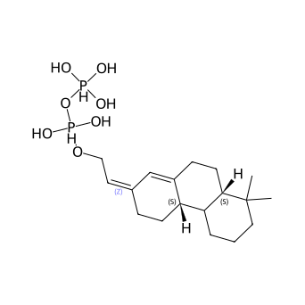 CC1(C)CCCC2[C@@H]3CC/C(=C/CO[PH](O)(O)O[PH](O)(O)O)C=C3CC[C@@H]21